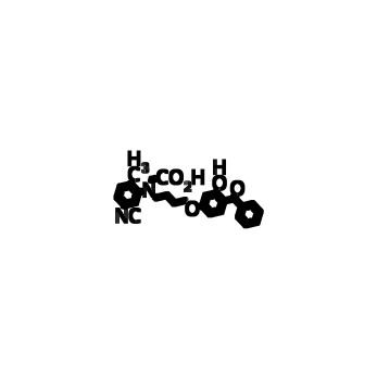 [C-]#[N+]c1ccc(C)c(N(CCCCOc2ccc(C(=O)c3ccccc3)c(O)c2)CC(=O)O)c1